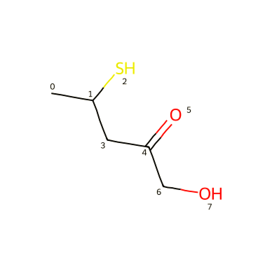 CC(S)CC(=O)CO